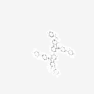 CC1(C)c2ccccc2-c2cc3c4ccc(-c5ccc6c7cc8c(cc7n(-c7ccc(-c9ccccc9)cc7)c6c5)C(C)(C)c5ccccc5-8)cc4n(-c4ccc(-c5ccccc5)cc4)c3cc21